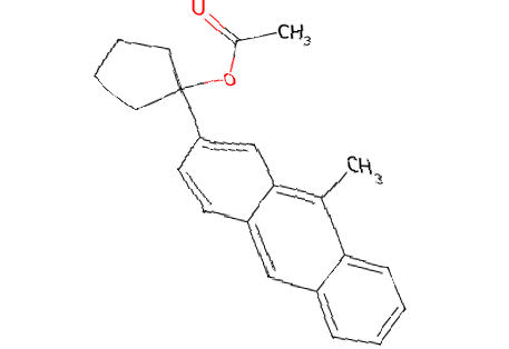 CC(=O)OC1(c2ccc3cc4ccccc4c(C)c3c2)CCCC1